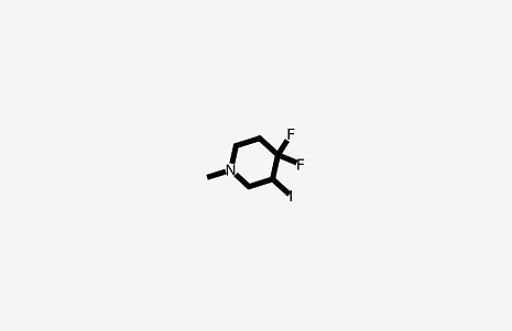 CN1CCC(F)(F)C(I)C1